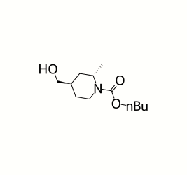 CCCCOC(=O)N1CC[C@@H](CO)C[C@@H]1C